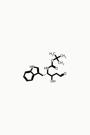 CC(C)(C)OC(=O)N[C@@H](Cc1c[nH]c2ccccc12)C(O)C[C]=O